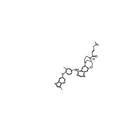 Cc1cc(Nc2ncnc3cc4c(cc23)N2CCN(C(=O)/C=C/CN(C)C)[C@@H](CO4)C2)ccc1Oc1ccc2c(c1)ncn2C